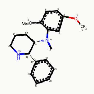 COc1ccc(OC(F)(F)F)cc1N(C)[C@H]1CCCN[C@H]1c1ccccc1